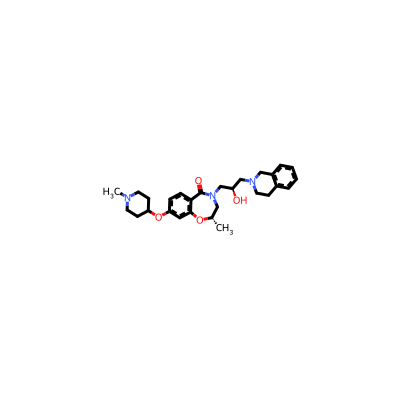 C[C@H]1CN(C[C@H](O)CN2CCc3ccccc3C2)C(=O)c2ccc(OC3CCN(C)CC3)cc2O1